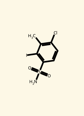 Cc1c(Cl)ccc(S(N)(=O)=O)c1I